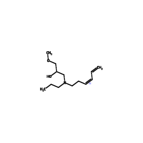 C=C/C=C\CCN(CCC)CC(O)COC